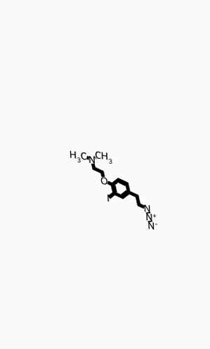 CN(C)CCOc1ccc(CCN=[N+]=[N-])cc1I